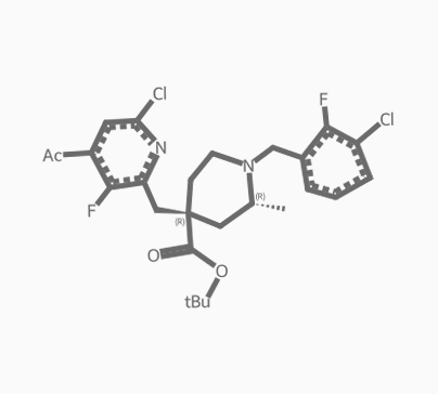 CC(=O)c1cc(Cl)nc(C[C@@]2(C(=O)OC(C)(C)C)CCN(Cc3cccc(Cl)c3F)[C@H](C)C2)c1F